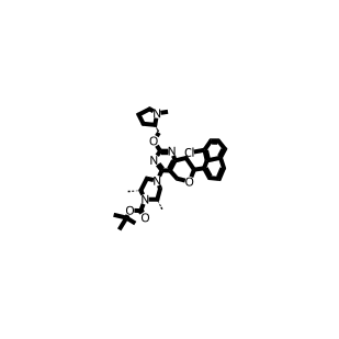 C[C@@H]1CN(c2nc(OC[C@@H]3CCCN3C)nc3c2COC(c2cccc4cccc(Cl)c24)C3)C[C@H](C)N1C(=O)OC(C)(C)C